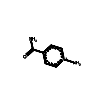 NC(=O)c1cc[n+](N)cc1